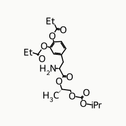 CCC(=O)Oc1ccc(C[C@H](N)C(=O)O[C@@H](C)COC(=O)OC(C)C)cc1OC(=O)CC